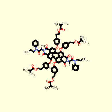 C=C(C)C(=O)OCCc1ccc(Oc2cc3c4c(cc(Oc5ccc(CCOC(=O)C(=C)C)cc5)c5c6c(Oc7ccc(CCOC(=O)C(=C)C)cc7)cc7c8c(cc(Oc9ccc(CCOC(=O)C(=C)C)cc9)c(c2c45)c86)C(=O)N(C(C)C(=O)N(CCC)c2ccccc2)C7=O)C(=O)N(C(C)C(=O)N(CCC)c2ccccc2)C3=O)cc1